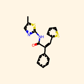 Cc1cnc(NC(=O)C(=Cc2cccs2)c2ccccc2)s1